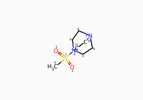 CS(=O)(=O)[N+]12CCN(CC1)CC2